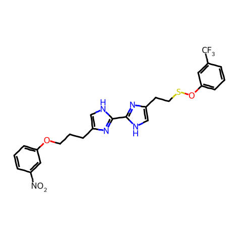 O=[N+]([O-])c1cccc(OCCCc2c[nH]c(-c3nc(CCSOc4cccc(C(F)(F)F)c4)c[nH]3)n2)c1